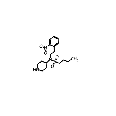 CCCCS(=O)(=O)N(CCc1ccccc1[N+](=O)[O-])C1CCNCC1